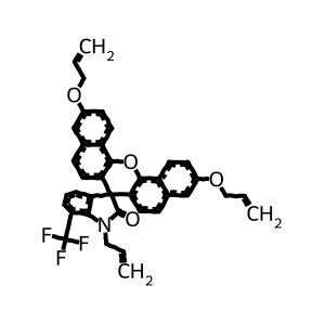 C=CCOc1ccc2c3c(ccc2c1)C1(C(=O)N(CC=C)c2c(C(F)(F)F)cccc21)c1ccc2cc(OCC=C)ccc2c1O3